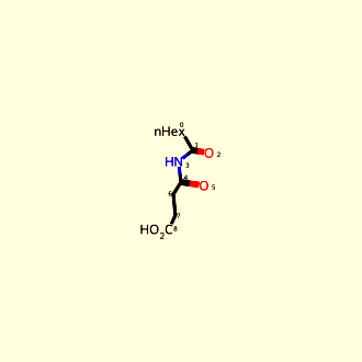 CCCCCCC(=O)NC(=O)CCC(=O)O